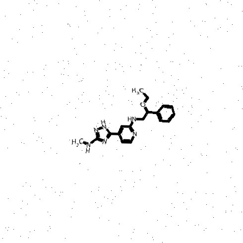 CCOC(CNc1cc(-c2nc(NC)n[nH]2)ccn1)c1ccccc1